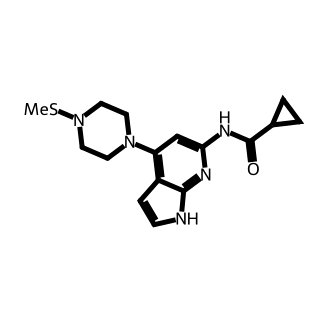 CSN1CCN(c2cc(NC(=O)C3CC3)nc3[nH]ccc23)CC1